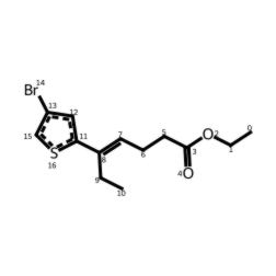 CCOC(=O)CCC=C(CC)c1cc(Br)cs1